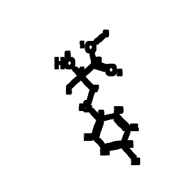 COC(=O)C(C)(O)CSc1ccc(C)cc1